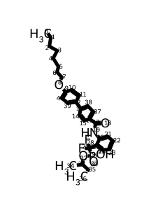 CCCCCCCCOc1ccc(-c2ccc(C(=O)Nc3ccccc3C(F)(F)P(=O)(O)OC(C)CC)cc2)cc1